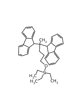 CC[Si](CC)(CC)OCCCC(C)(C1c2ccccc2-c2ccccc21)C1c2ccccc2-c2ccccc21